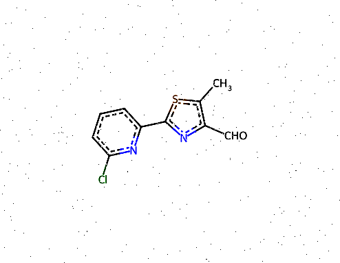 Cc1sc(-c2cccc(Cl)n2)nc1C=O